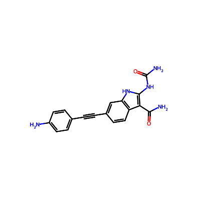 NC(=O)Nc1[nH]c2cc(C#Cc3ccc(N)cc3)ccc2c1C(N)=O